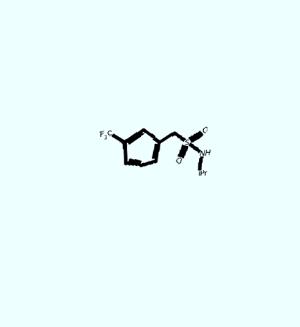 CC(C)NS(=O)(=O)Cc1cccc(C(F)(F)F)c1